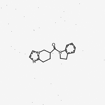 O=C(C1CCc2nccn2C1)N1CCc2ccccc21